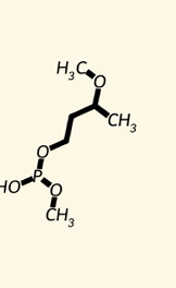 COC(C)CCOP(O)OC